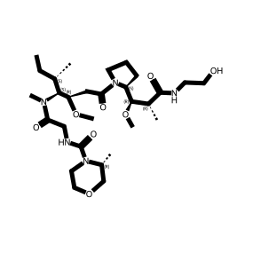 CC[C@H](C)[C@@H]([C@@H](CC(=O)N1CCC[C@H]1[C@H](OC)[C@@H](C)C(=O)NCCO)OC)N(C)C(=O)CNC(=O)N1CCOC[C@H]1C